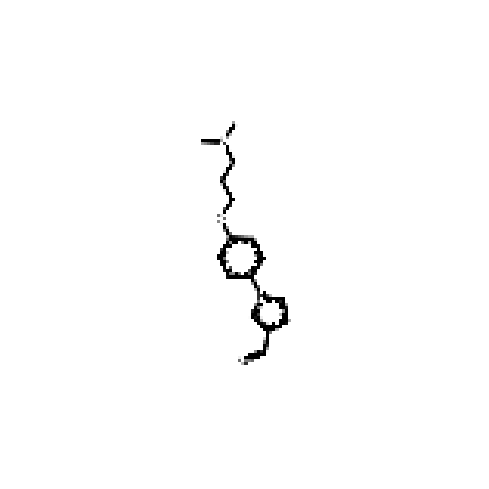 CN(C)CCCOc1ccc(-n2ccc(C=O)c2)cc1